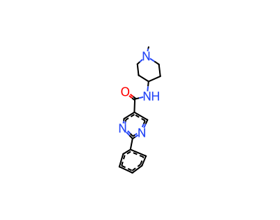 CN1CCC(NC(=O)c2cnc(-c3ccccc3)nc2)CC1